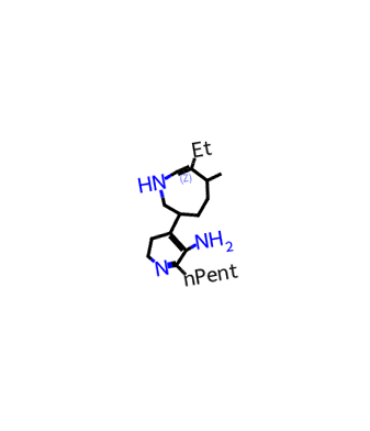 CCCCCC1=NCCC(C2CCC(C)/C(CC)=C\NC2)=C1N